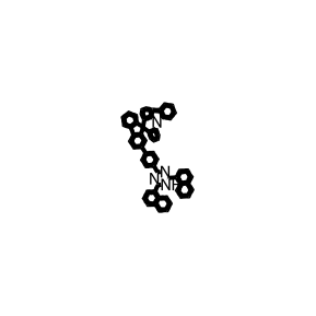 c1ccc2c(c1)-c1ccc(-c3ccc(C4=NC(c5cccc6ccccc56)NC(c5cccc6ccccc56)=N4)cc3)cc1C21c2ccccc2-n2c3ccccc3c3cccc1c32